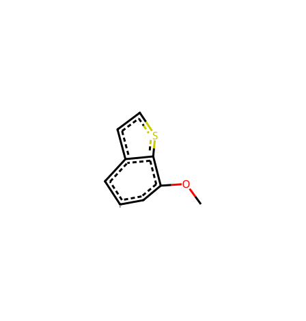 COc1c[c]cc2ccsc12